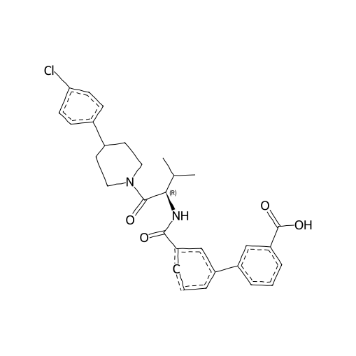 CC(C)[C@@H](NC(=O)c1cccc(-c2cccc(C(=O)O)c2)c1)C(=O)N1CCC(c2ccc(Cl)cc2)CC1